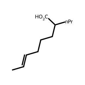 CC=CCCCC(CCC)C(=O)O